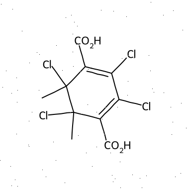 CC1(Cl)C(C(=O)O)=C(Cl)C(Cl)=C(C(=O)O)C1(C)Cl